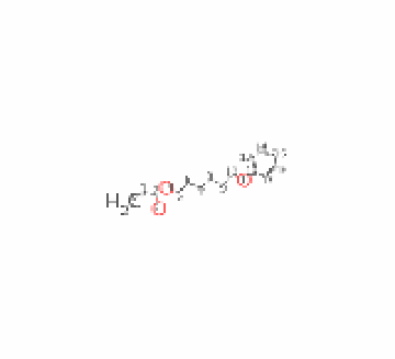 C=CC(=O)OCCCCCCOc1cc[c]cc1